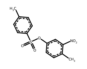 Cc1ccc(S(=O)(=O)Oc2ccc(C)c([N+](=O)[O-])c2)cc1